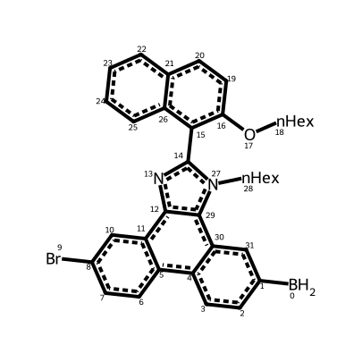 Bc1ccc2c3ccc(Br)cc3c3nc(-c4c(OCCCCCC)ccc5ccccc45)n(CCCCCC)c3c2c1